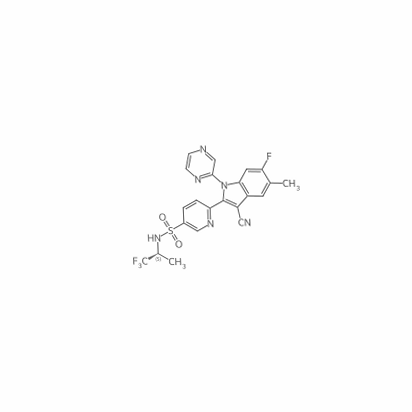 Cc1cc2c(C#N)c(-c3ccc(S(=O)(=O)N[C@@H](C)C(F)(F)F)cn3)n(-c3cnccn3)c2cc1F